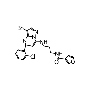 O=C(NCCCNc1cc(-c2ccccc2Cl)nc2c(Br)cnn12)c1ccoc1